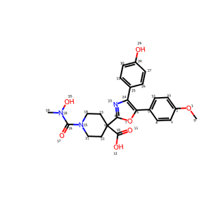 COc1ccc(-c2oc(C3(C(=O)O)CCN(C(=O)N(C)O)CC3)nc2-c2ccc(O)cc2)cc1